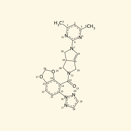 Cc1cc(C)nc(N2C=C3CN(C(=O)c4c(-n5nccn5)ccc5c4OCO5)CC3C2)n1